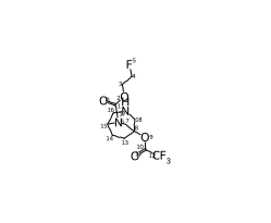 O=C(OCCF)N1CC2(OC(=O)C(F)(F)F)CCC1CNC2